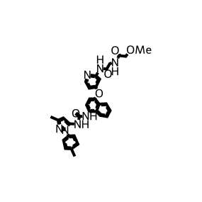 COCC(=O)NCC(=O)Nc1cc(Oc2ccc(NC(=O)Nc3cc(C)nn3-c3ccc(C)cc3)c3ccccc23)ccn1